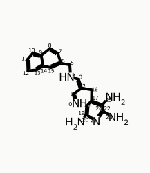 N=C/C(=C\NCc1ccc2ccccc2c1)Cc1cc(N)nc(N)c1N